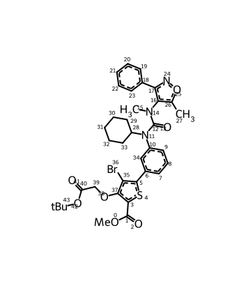 COC(=O)c1sc(-c2cccc(N(C(=O)N(C)c3c(-c4ccccc4)noc3C)C3CCCCC3)c2)c(Br)c1OCC(=O)OC(C)(C)C